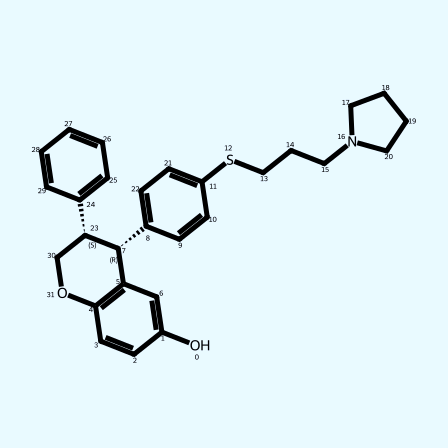 Oc1ccc2c(c1)[C@@H](c1ccc(SCCCN3CCCC3)cc1)[C@@H](c1ccccc1)CO2